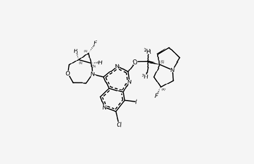 [2H]C([2H])(Oc1nc(N2CCOC[C@H]3[C@H](F)[C@H]32)c2cnc(Cl)c(I)c2n1)[C@@]12CCCN1C[C@H](F)C2